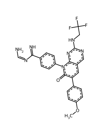 COc1ccc(-c2cc3cnc(NCC(F)(F)F)nc3n(-c3ccc(C(=N)/N=C\N)cc3)c2=O)cc1